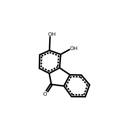 O=C1c2ccccc2-c2c1ccc(O)c2O